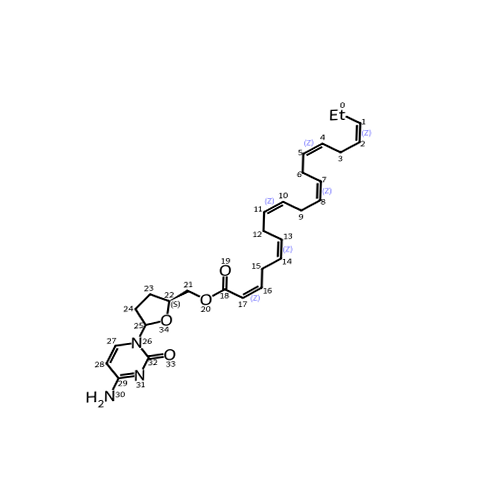 CC/C=C\C/C=C\C/C=C\C/C=C\C/C=C\C/C=C\C(=O)OC[C@@H]1CCC(n2ccc(N)nc2=O)O1